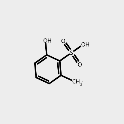 [CH2]c1cccc(O)c1S(=O)(=O)O